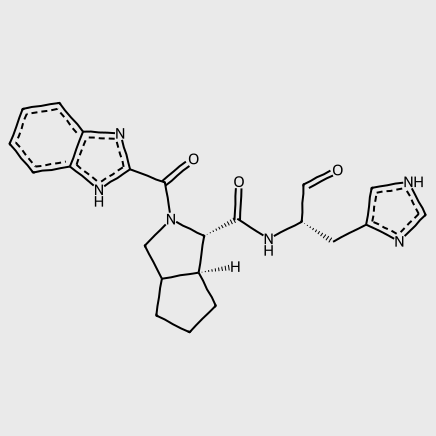 O=C[C@H](Cc1c[nH]cn1)NC(=O)[C@@H]1[C@H]2CCCC2CN1C(=O)c1nc2ccccc2[nH]1